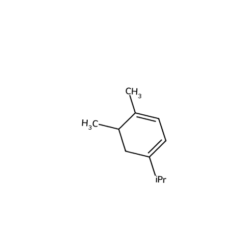 CC1=CC=C(C(C)C)CC1C